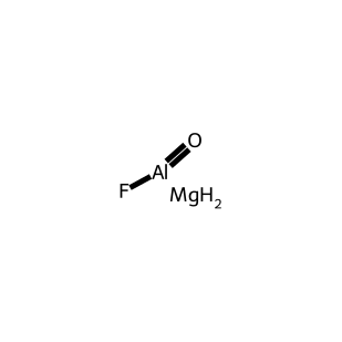 [MgH2].[O]=[Al][F]